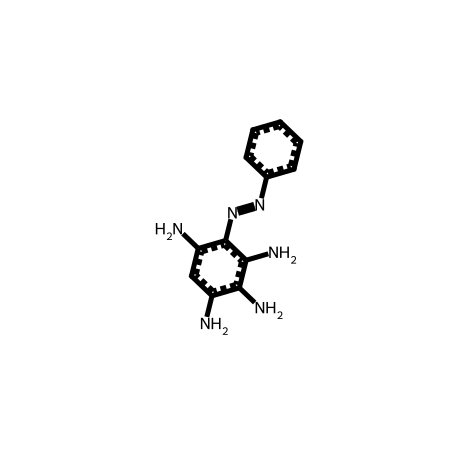 Nc1cc(N)c(N=Nc2ccccc2)c(N)c1N